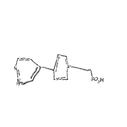 O=S(=O)(O)C[n+]1ccc(-c2ccnnc2)cc1